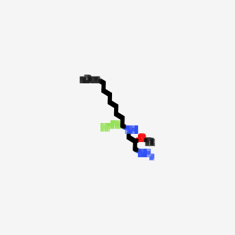 CCCCCCCCCCCCCCCCCCNCC(CN)OCC.F.F